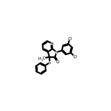 CC1(Sc2ccccc2)C(=O)N(c2cc(Cl)cc(Cl)c2)c2ncccc21